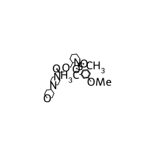 COc1cc(C)c(S(=O)(=O)N2CCCCC2COCC(=O)N2CCN(C3CCOCC3)CC2)c(C)c1